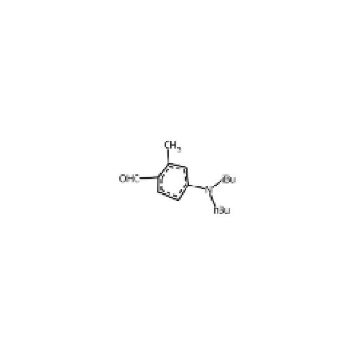 CCCCN(c1ccc(C=O)c(C)c1)C(C)CC